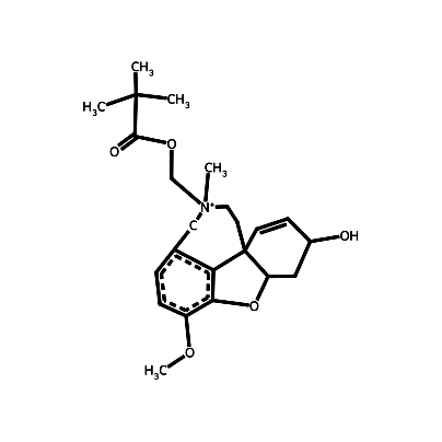 COc1ccc2c3c1OC1CC(O)C=CC31CC[N+](C)(COC(=O)C(C)(C)C)C2